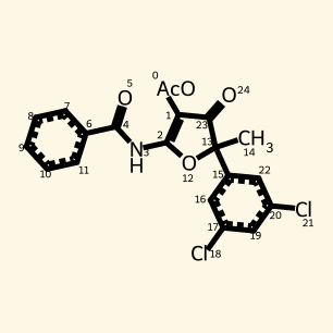 CC(=O)OC1=C(NC(=O)c2ccccc2)OC(C)(c2cc(Cl)cc(Cl)c2)C1=O